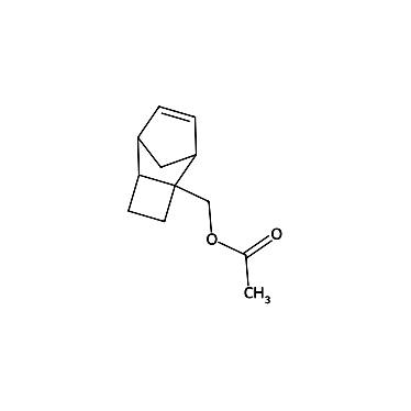 CC(=O)OCC12CCC1C1C=CC2C1